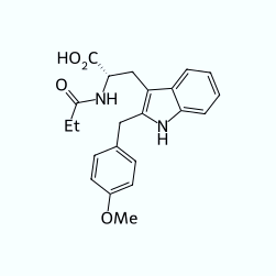 CCC(=O)N[C@@H](Cc1c(Cc2ccc(OC)cc2)[nH]c2ccccc12)C(=O)O